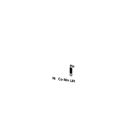 O=P.[Co].[LiH].[Mn].[Ni]